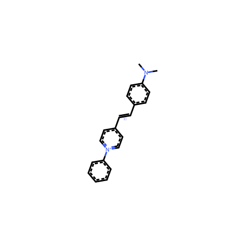 CN(C)c1ccc(/C=C/c2cc[n+](-c3ccccc3)cc2)cc1